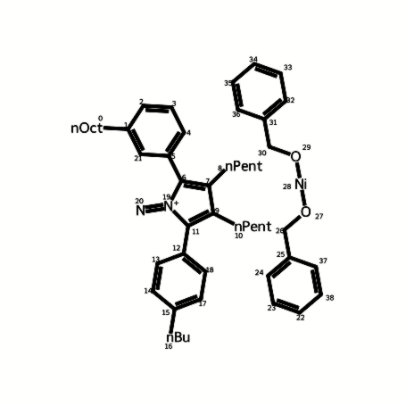 CCCCCCCCc1cccc(C2=C(CCCCC)C(CCCCC)=C(c3ccc(CCCC)cc3)[N+]2=[N-])c1.c1ccc(C[O][Ni][O]Cc2ccccc2)cc1